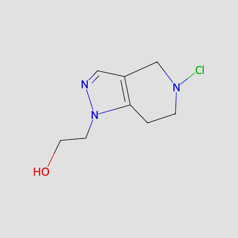 OCCn1ncc2c1CCN(Cl)C2